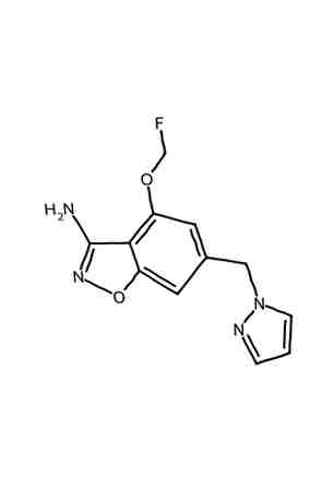 Nc1noc2cc(Cn3cccn3)cc(OCF)c12